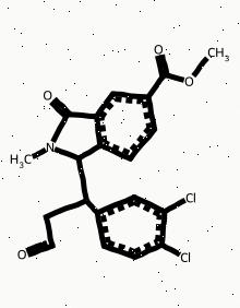 COC(=O)c1ccc2c(c1)C(=O)N(C)C2C(CC=O)c1ccc(Cl)c(Cl)c1